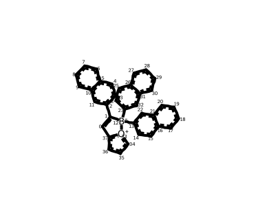 C1=C(c2ccc3ccccc3c2)[B-](c2ccc3ccccc3c2)(c2ccc3ccccc3c2)[o+]2cccc21